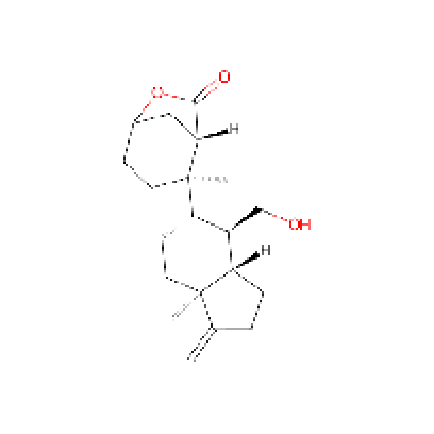 C=C1CC[C@H]2[C@H](CO)[C@@H]([C@@]3(C)CCC4C[C@@H]3C(=O)O4)CC[C@]12C